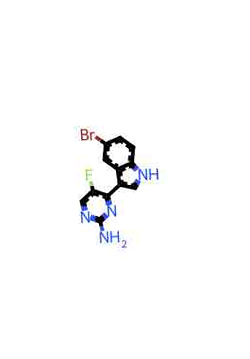 Nc1ncc(F)c(-c2c[nH]c3ccc(Br)cc23)n1